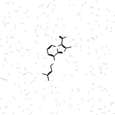 CC(C)=CCOc1cccn2c(C(N)=O)c(C)nc12